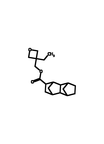 CCC1(COC(=O)C2CC3CC2C2C4CCC(C4)C32)COC1